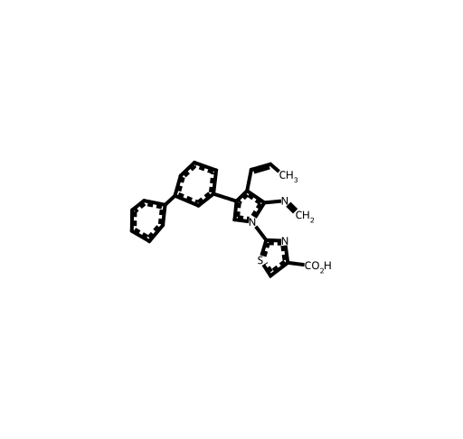 C=Nc1c(/C=C\C)c(-c2cccc(-c3ccccc3)c2)cn1-c1nc(C(=O)O)cs1